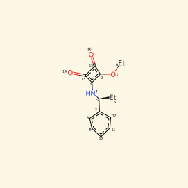 CCOc1c(N[C@@H](CC)c2ccccc2)c(=O)c1=O